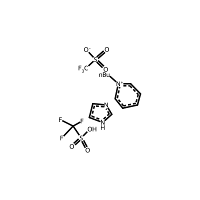 CCCC[n+]1ccccc1.O=S(=O)(O)C(F)(F)F.O=S(=O)([O-])C(F)(F)F.c1c[nH]cn1